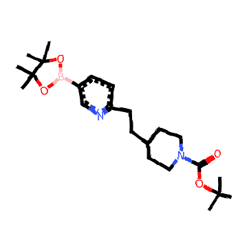 CC(C)(C)OC(=O)N1CCC(CCc2ccc(B3OC(C)(C)C(C)(C)O3)cn2)CC1